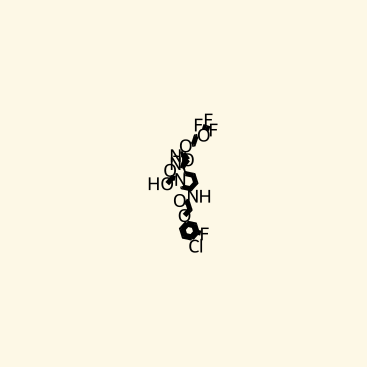 O=C(COc1ccc(Cl)c(F)c1)N[C@H]1CC[C@H](c2nnc(OCCOC(F)(F)F)o2)N(C(=O)O)C1